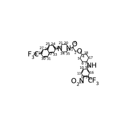 O=C(CO[C@H]1CC[C@H](Nc2ccc([N+](=O)[O-])c(C(F)(F)F)c2)CC1)N1CCN(c2ccc3cc(C(F)(F)F)ccc3c2)CC1